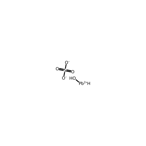 O=S(=O)([O-])[O-].[OH][PbH+2]